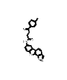 Cc1ccc(C(=O)CCC(=O)Nc2ccc3[nH]c4c(ccc5cn[nH]c54)c3c2)cc1